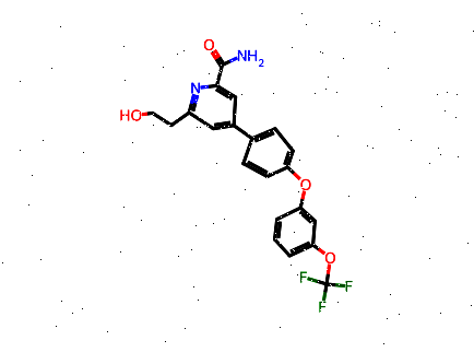 NC(=O)c1cc(-c2ccc(Oc3cccc(OC(F)(F)F)c3)cc2)cc(CCO)n1